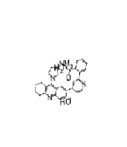 Cl.NC(=O)c1ccccc1-c1cc(-c2ccc3nc4c(c(N5CC[C@H](N)C5)c3c2)CCCC4)ccn1